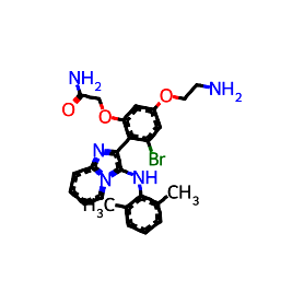 Cc1cccc(C)c1Nc1c(-c2c(Br)cc(OCCN)cc2OCC(N)=O)nc2ccccn12